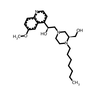 CCCCCCCN1CCN(C[C@@H](O)c2ccnc3ccc(OC)cc23)C[C@H]1CO